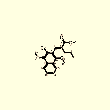 CCCC(=Cc1c(Cl)c(OC)c2ccccc2c1OC)C(=O)O